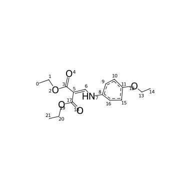 CCOC(=O)C(=CNc1ccc(OCC)cc1)C(=O)OCC